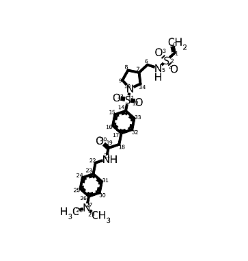 C=CS(=O)(=O)NCC1CCN(S(=O)(=O)c2ccc(CC(=O)NCc3ccc(N(C)C)cc3)cc2)C1